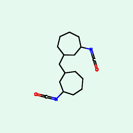 O=C=NC1CCCCC(CC2CCCCC(N=C=O)C2)C1